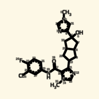 Cn1cnc(C2(O)CC3CC(c4ncn(C)c4C(=O)Nc4ccc(F)c(Cl)c4)CC3C2)c1